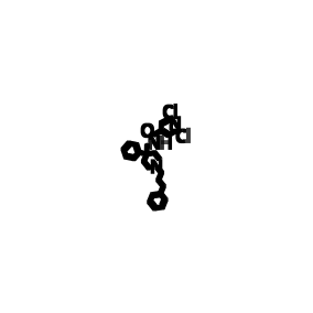 O=C(NCC1(c2ccccc2)CCN(CCCc2ccccc2)CC1)c1cc(Cl)nc(Cl)c1